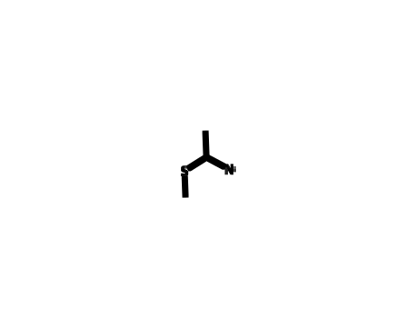 CSC(C)[N]